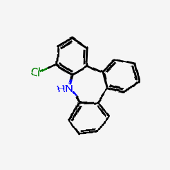 Clc1cccc2c1Nc1ccccc1-c1ccccc1-2